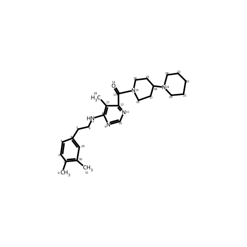 Cc1ccc(CCNc2ncnc(C(=O)N3CCC(N4CCCCC4)CC3)c2C)cc1C